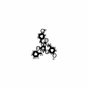 COc1ccc(Cn2c3c(n(Cc4ccc(OC)cc4)c2=O)C(=O)N(Cc2ccccc2)C3=O)cc1